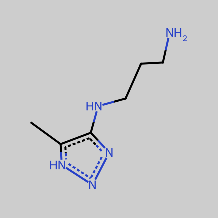 Cc1[nH]nnc1NCCCN